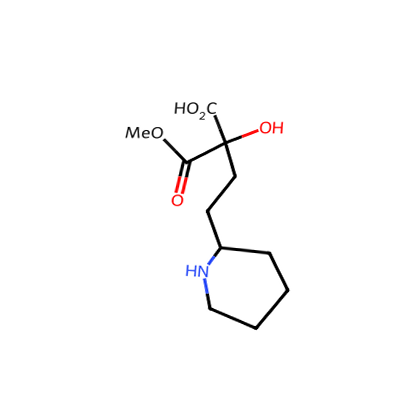 COC(=O)C(O)(CCC1CCCCN1)C(=O)O